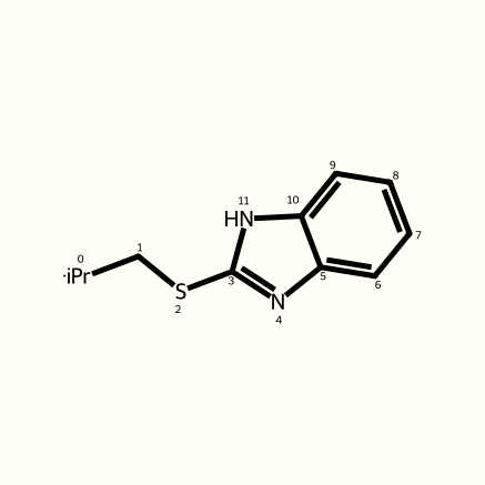 C[C](C)CSc1nc2ccccc2[nH]1